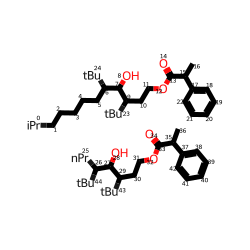 CC(C)CCCCCC(C(O)C(CCOC(=O)C(C)c1ccccc1)C(C)(C)C)C(C)(C)C.CCCC(C(O)C(CCOC(=O)C(C)c1ccccc1)C(C)(C)C)C(C)(C)C